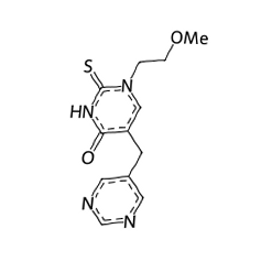 COCCn1cc(Cc2cncnc2)c(=O)[nH]c1=S